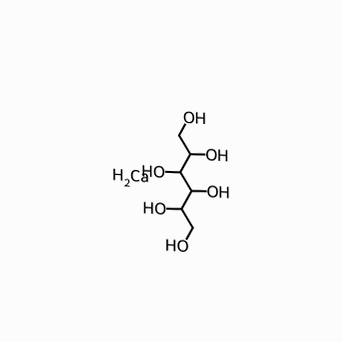 OCC(O)C(O)C(O)C(O)CO.[CaH2]